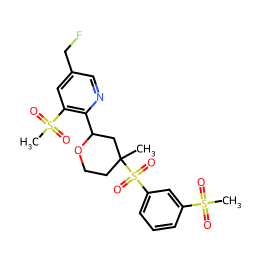 CC1(S(=O)(=O)c2cccc(S(C)(=O)=O)c2)CCOC(c2ncc(CF)cc2S(C)(=O)=O)C1